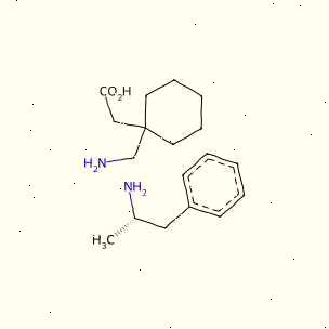 C[C@H](N)Cc1ccccc1.NCC1(CC(=O)O)CCCCC1